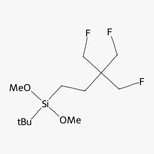 CO[Si](CCC(CF)(CF)CF)(OC)C(C)(C)C